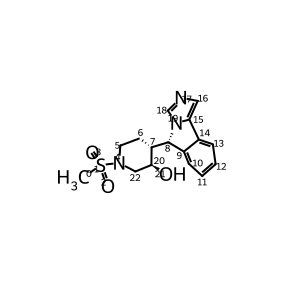 CS(=O)(=O)N1CC[C@H]([C@H]2c3ccccc3-c3cncn32)[C@@H](O)C1